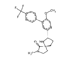 COc1cnc([C@@H]2CC[C@]3(CCN(C)C3=O)N2)cc1-c1ccc(C(F)(F)F)cc1